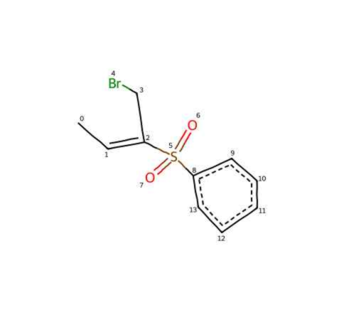 CC=C(CBr)S(=O)(=O)c1ccccc1